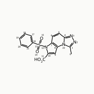 Cc1nnc2ccc3c(cc(C(=O)O)n3S(=O)(=O)c3ccccc3)n12